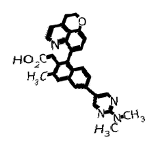 Cc1cc2cc(-c3cnc(N(C)C)nc3)ccc2c(-c2ccc3c4c(ccnc24)CCO3)c1CC(=O)O